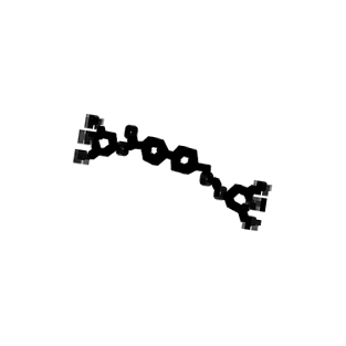 CC(C)C1CC(OCOCc2ccc(-c3ccc(C(=O)OC4CC(C(C)C)NC(C(C)C)C4)cc3)cc2)CC(C(C)C)N1